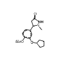 COc1ccc(C2CC(=O)NN2C)cc1OC1CCCC1